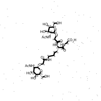 CC(=O)N[C@H]1[C@H](OCC(=O)NCCCC[C@H](NC(=O)CO[C@@H]2O[C@H](CO)[C@@H](O)[C@H](O)[C@H]2NC(C)=O)C(=O)NCC(=O)O)O[C@H](CO)[C@@H](O)[C@@H]1O